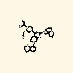 C=CC(=O)N1CCN(c2nc(OCC34CCCN3CCC4)nc3c2CCN(c2cccc4c2SCCC4)C3)C[C@@H]1CC#N